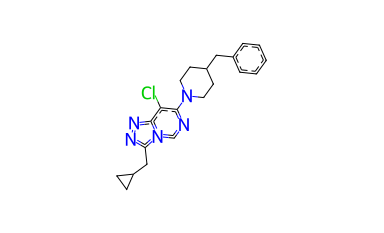 Clc1c(N2CCC(Cc3ccccc3)CC2)ncn2c(CC3CC3)nnc12